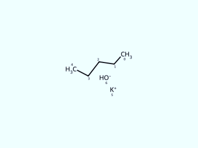 CCCCC.[K+].[OH-]